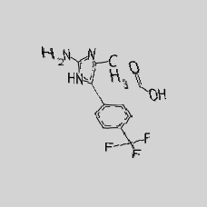 Cc1nc(N)[nH]c1-c1ccc(C(F)(F)F)cc1.O=CO